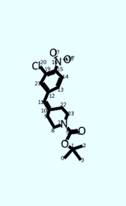 CC(C)(C)OC(=O)N1CCC(=Cc2ccc([N+](=O)[O-])c(Cl)c2)CC1